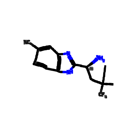 CC(C)(C[C@H](N)c1nc2cc(C#N)ccc2[nH]1)C(F)(F)F